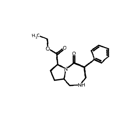 CCOC(=O)C1CCC2CNCC(c3ccccc3)C(=O)N21